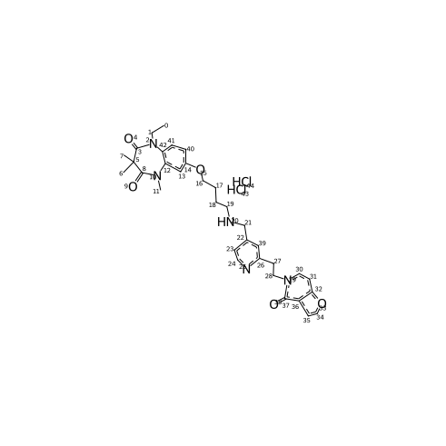 CCN1C(=O)C(C)(C)C(=O)N(C)c2cc(OCCCCNCc3ccnc(CCn4ccc5occc5c4=O)c3)ccc21.Cl.Cl